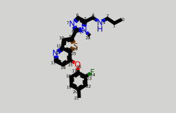 CCCNCc1cnc(-c2cc3nccc(Oc4ccc(C)cc4F)c3s2)n1C